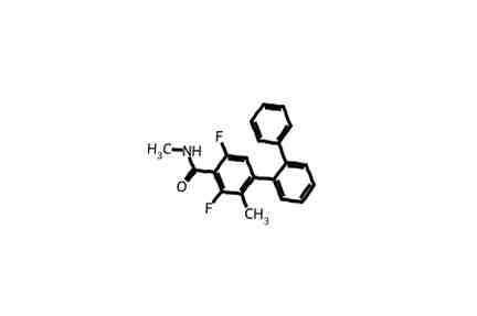 CNC(=O)c1c(F)cc(-c2ccccc2-c2ccccc2)c(C)c1F